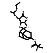 CCOC(C)OC1C(=O)OC2OC3(OC21)C1CC2CC3CC(OC(=O)C(C)(F)F)(C2)C1